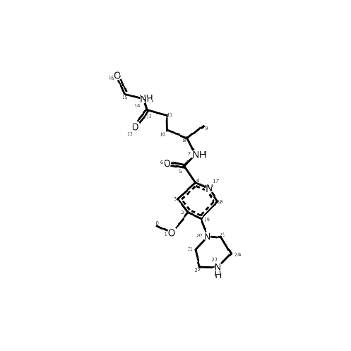 COc1cc(C(=O)NC(C)CCC(=O)NC=O)ncc1N1CCNCC1